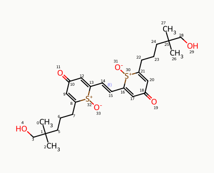 CC(C)(CO)CCCc1cc(=O)cc(/C=C/c2cc(=O)cc(CCCC(C)(C)CO)[s+]2[O-])[s+]1[O-]